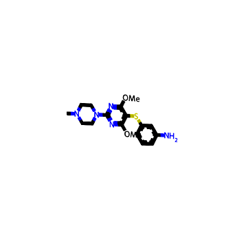 COc1nc(N2CCN(C)CC2)nc(OC)c1Sc1cccc(N)c1